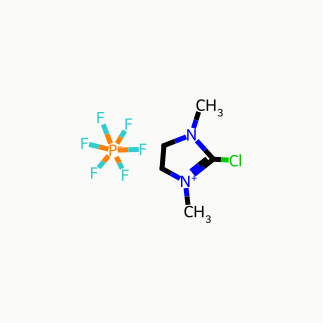 CN1CC[N+](C)=C1Cl.F[P-](F)(F)(F)(F)F